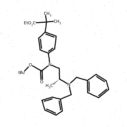 CCOC(=O)C(C)(C)c1ccc(N(C[C@@H](C)N(Cc2ccccc2)Cc2ccccc2)C(=O)OC(C)(C)C)cc1